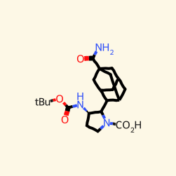 CC(C)(C)OC(=O)N[C@@H]1CCN(C(=O)O)C1C1C2CC3CC1CC(C(N)=O)(C3)C2